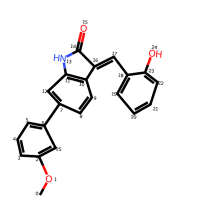 COc1cccc(-c2ccc3c(c2)NC(=O)/C3=C/c2ccccc2O)c1